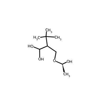 C[C@H](O)OCC(C(O)O)C(C)(C)C